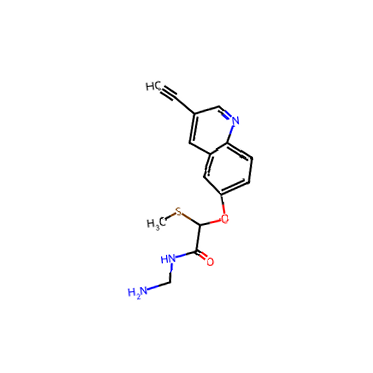 C#Cc1cnc2ccc(OC(SC)C(=O)NCN)cc2c1